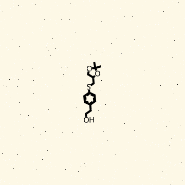 CC1(C)OCC(CSc2ccc(CCO)cc2)O1